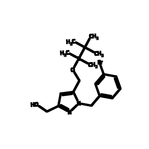 CC(C)(C)[Si](C)(C)OCc1cc(CO)nn1Cc1cccc(Br)c1